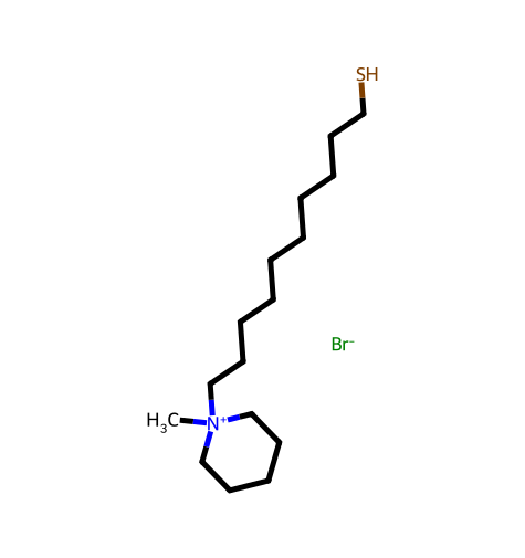 C[N+]1(CCCCCCCCCCS)CCCCC1.[Br-]